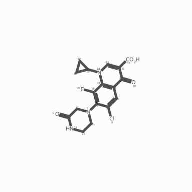 O=C1CN(c2c(Cl)cc3c(=O)c(C(=O)O)cn(C4CC4)c3c2F)CCN1